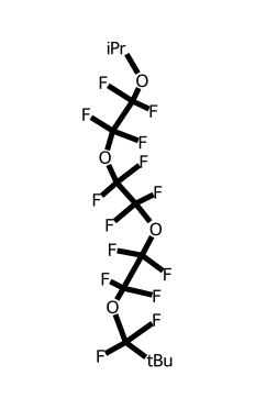 CC(C)OC(F)(F)C(F)(F)OC(F)(F)C(F)(F)OC(F)(F)C(F)(F)OC(F)(F)C(C)(C)C